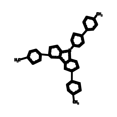 Cc1ccc(-c2ccc(-n3c4ccc(-c5ccc(C)cc5)cc4c4cc(-c5ccc(C)cc5)ccc43)cc2)cc1